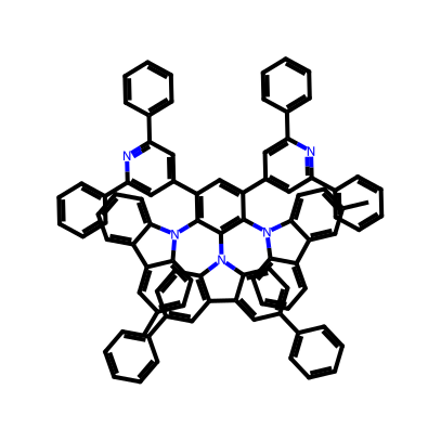 Cc1ccc2c(c1)c1ccccc1n2-c1c(-c2cc(-c3ccccc3)nc(-c3ccccc3)c2)cc(-c2cc(-c3ccccc3)nc(-c3ccccc3)c2)c(-n2c3ccccc3c3cc(C)ccc32)c1-n1c2ccc(-c3ccccc3)cc2c2cc(-c3ccccc3)ccc21